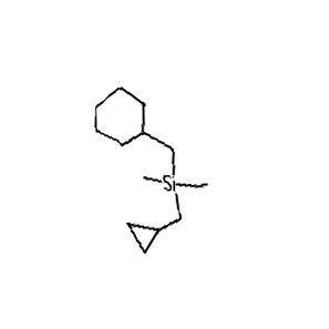 C[Si](C)(CC1CCCCC1)CC1CC1